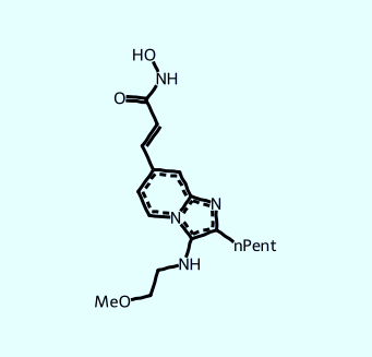 CCCCCc1nc2cc(C=CC(=O)NO)ccn2c1NCCOC